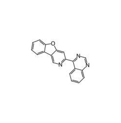 c1ccc2c(-c3cc4oc5ccccc5c4cn3)ncnc2c1